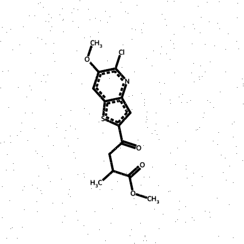 COC(=O)C(C)CC(=O)c1cc2nc(Cl)c(OC)cc2s1